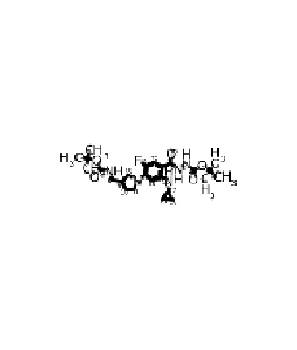 CC(C)(C)OC(=O)NCC1CCN(c2cc(NC3CC3)c(C(=O)NNC(=O)OC(C)(C)C)cc2F)C1